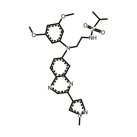 COc1cc(OC)cc(N(CCNS(=O)(=O)C(C)C)c2ccc3ncc(-c4cnn(C)c4)nc3c2)c1